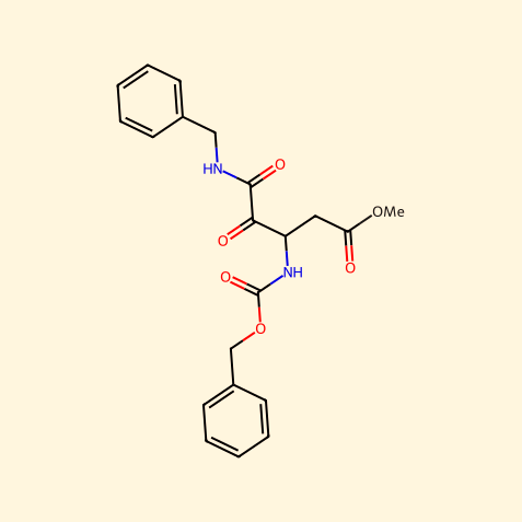 COC(=O)CC(NC(=O)OCc1ccccc1)C(=O)C(=O)NCc1ccccc1